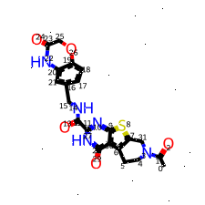 CC(=O)N1CCc2c(sc3nc(C(=O)NCc4ccc5c(c4)NC(=O)CO5)[nH]c(=O)c23)C1